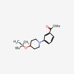 COC(=O)c1cccc(N2CCC(O[Si](C)(C)C(C)(C)C)CC2)c1